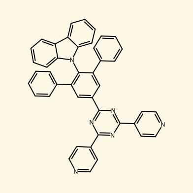 c1ccc(-c2cc(-c3nc(-c4ccncc4)nc(-c4ccncc4)n3)cc(-c3ccccc3)c2-n2c3ccccc3c3ccccc32)cc1